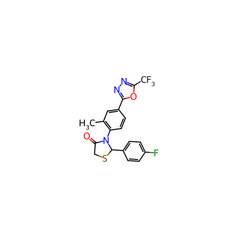 Cc1cc(-c2nnc(C(F)(F)F)o2)ccc1N1C(=O)CSC1c1ccc(F)cc1